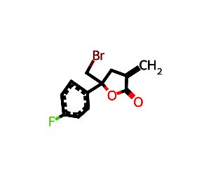 C=C1CC(CBr)(c2ccc(F)cc2)OC1=O